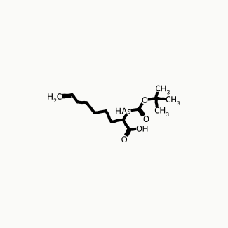 C=CCCCCCC([AsH]C(=O)OC(C)(C)C)C(=O)O